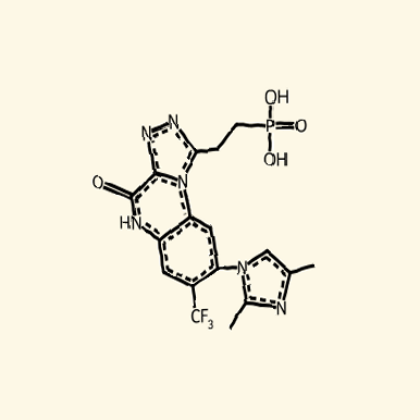 Cc1cn(-c2cc3c(cc2C(F)(F)F)[nH]c(=O)c2nnc(CCP(=O)(O)O)n23)c(C)n1